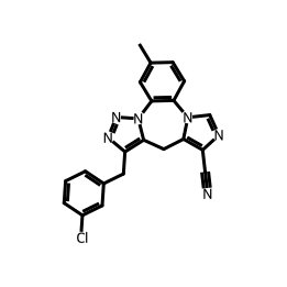 Cc1ccc2c(c1)-n1nnc(Cc3cccc(Cl)c3)c1Cc1c(C#N)ncn1-2